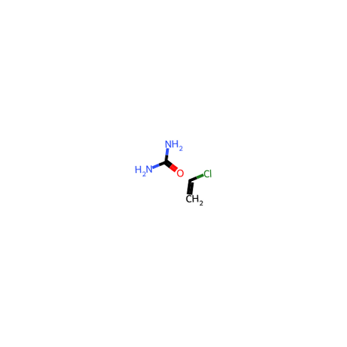 C=CCl.NC(N)=O